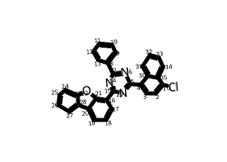 Clc1ccc(-c2nc(-c3ccccc3)nc(-c3cccc4c3oc3ccccc34)n2)c2ccccc12